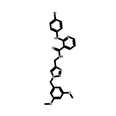 COc1cc(Cn2cc(CNC(=O)c3cccnc3Nc3ccc(Br)cc3)nn2)cc(OC)c1